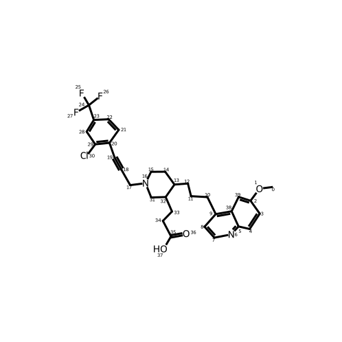 COc1ccc2nccc(CCCC3CCN(CC#Cc4ccc(C(F)(F)F)cc4Cl)CC3CCC(=O)O)c2c1